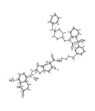 O=C(NCCCOc1cccc([C@](O)(C(=O)OCC2CCN(Cc3ccccc3)CC2)c2ccccc2)c1)c1cc2c(cc1F)CN(C[C@H](O)c1ccc(O)c3[nH]c(=O)ccc13)O2